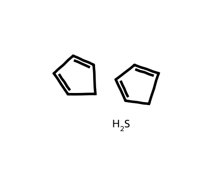 C1=CCC=C1.C1=CCC=C1.S